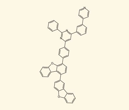 c1ccc(-c2nc(-c3ccc(-c4ccc(-c5ccc6oc7ccccc7c6c5)c5c4oc4ccccc45)cc3)cc(-c3cccc(-c4ccncc4)c3)n2)cc1